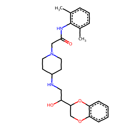 Cc1cccc(C)c1NC(=O)CN1CCC(NCC(O)C2COc3ccccc3O2)CC1